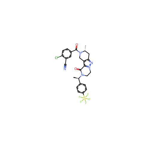 C[C@@H]1Cc2nn3c(c2CN1C(=O)c1ccc(Cl)c(C#N)c1)C(=O)N([C@H](C)c1ccc(S(F)(F)(F)(F)F)cc1)CC3